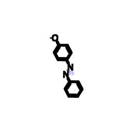 [O]c1ccc(/N=N/c2ccccc2)cc1